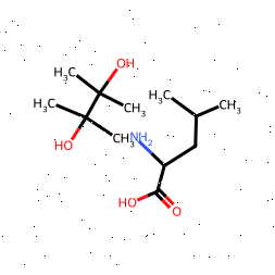 CC(C)(O)C(C)(C)O.CC(C)CC(N)C(=O)O